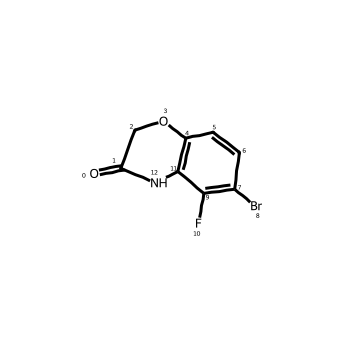 O=C1COc2ccc(Br)c(F)c2N1